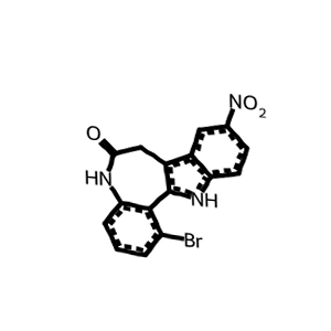 O=C1Cc2c([nH]c3ccc([N+](=O)[O-])cc23)-c2c(Br)cccc2N1